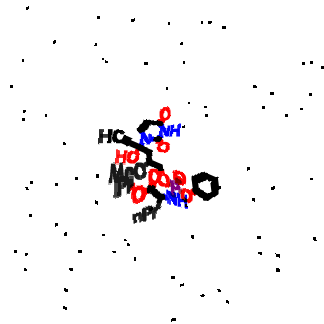 C#C[C@@](O)(C[C@@H](COP(=O)(N[C@@H](CCC)C(=O)OC(C)C)Oc1ccccc1)OC)n1ccc(=O)[nH]c1=O